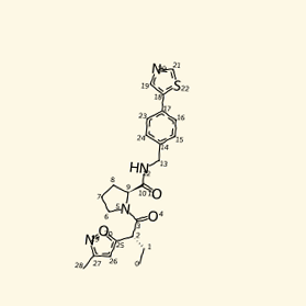 CC[C@@H](C(=O)N1CCC[C@H]1C(=O)NCc1ccc(-c2cncs2)cc1)c1cc(C)no1